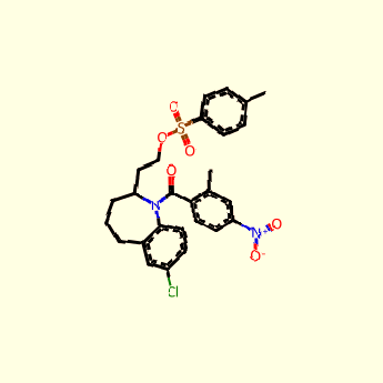 Cc1ccc(S(=O)(=O)OCCC2CCCc3cc(Cl)ccc3N2C(=O)c2ccc([N+](=O)[O-])cc2C)cc1